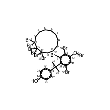 BrC1(Br)CCCCCCCCCC(Br)(Br)C1(Br)Br.CC(C)(c1ccc(O)cc1)c1c(Br)cc(OBr)c(Br)c1Br